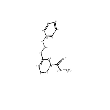 COC(=O)C1CCN=C(COCc2ccccc2)S1